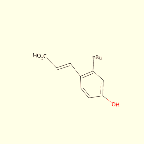 CCCCc1cc(O)ccc1/C=C/C(=O)O